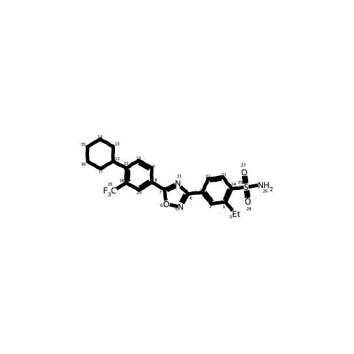 CCc1cc(-c2noc(-c3ccc(C4CCCCC4)c(C(F)(F)F)c3)n2)ccc1S(N)(=O)=O